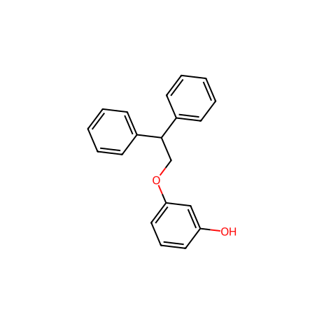 Oc1cccc(OCC(c2ccccc2)c2ccccc2)c1